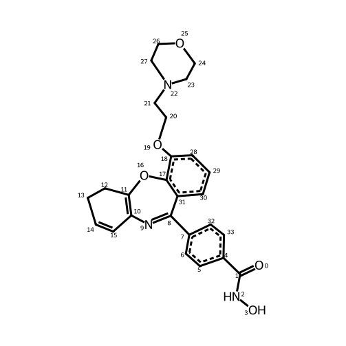 O=C(NO)c1ccc(C2=NC3=C(CCC=C3)Oc3c(OCCN4CCOCC4)cccc32)cc1